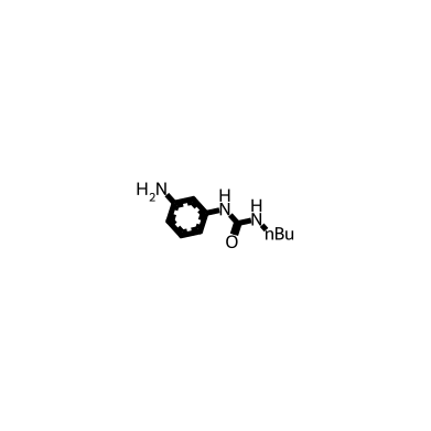 CCCCNC(=O)Nc1cccc(N)c1